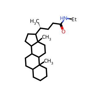 CCNC(=O)CC[C@@H](C)C1CCC2C3CCC4CCCCC4(C)C3CCC21C